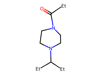 CCC(=O)N1CCN(C(CC)CC)CC1